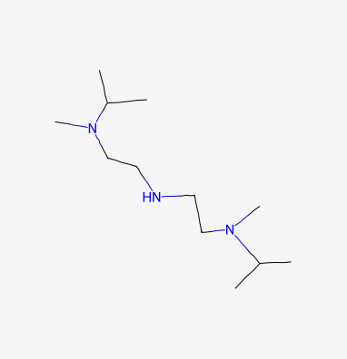 CC(C)N(C)CCNCCN(C)C(C)C